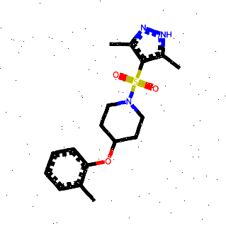 Cc1ccccc1OC1CCN(S(=O)(=O)c2c(C)n[nH]c2C)CC1